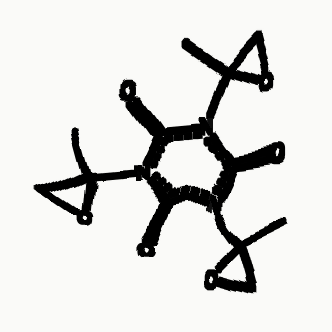 CC1(n2c(=O)n(C3(C)CO3)c(=O)n(C3(C)CO3)c2=O)CO1